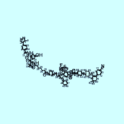 Cc1ncsc1-c1ccc([C@H](C)NC(=O)[C@@H]2C[C@@H](O)CN2C(=O)[C@@H](NC(=O)CCCCCC(=O)N2CCN(CC[C@H](CSc3ccccc3)Nc3ccc(S(=O)(=O)NC(=O)c4ccc(N5CCN(CC6=C(c7ccc(C#N)cc7)CCC(C)(C)C6)CC5)cc4)cc3S(=O)(=O)C(F)(F)F)CC2)C(C)(C)C)cc1